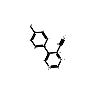 Cc1ccc(-c2cncnc2C#N)cc1